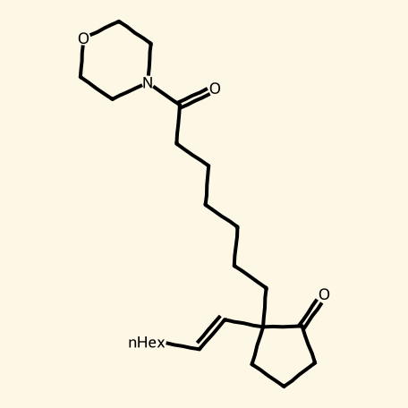 CCCCCCC=CC1(CCCCCCC(=O)N2CCOCC2)CCCC1=O